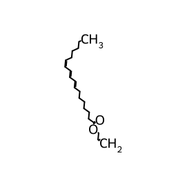 C=CCOC(=O)CCCCCC/C=C/C=C/C=C\CCCCC